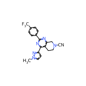 Cn1ccc(-c2nc(-c3ccc(C(F)(F)F)cc3)nc3c2CCN(C#N)C3)n1